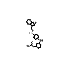 O=C(O)Cc1cc(Nc2ccc(NCCc3c[nH]c4ccccc34)cc2)ccn1